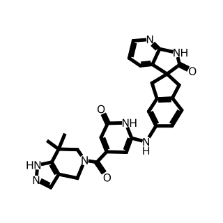 CC1(C)CN(C(=O)c2cc(Nc3ccc4c(c3)CC3(C4)C(=O)Nc4ncccc43)[nH]c(=O)c2)Cc2cn[nH]c21